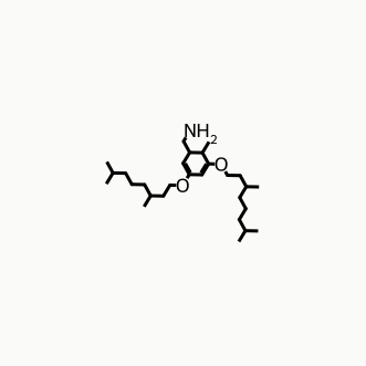 CC(C)CCCC(C)CCOC1=CC(CN)C(C)C(OCCC(C)CCCC(C)C)=C1